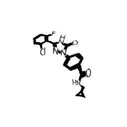 O=C(NCC1CC1)c1ccc(-n2nc(-c3c(F)cccc3Cl)[nH]c2=O)cc1